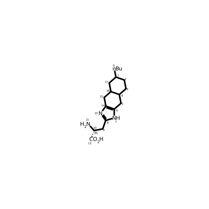 CCCCC1CCC2Cc3[nH]c(C[C@@H](N)C(=O)O)nc3CC2C1